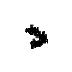 Cc1cnc(Nc2cnn(C(C)C(F)(F)F)c2)nc1-c1ccc(C(=O)N[C@@H](C)C#N)cc1